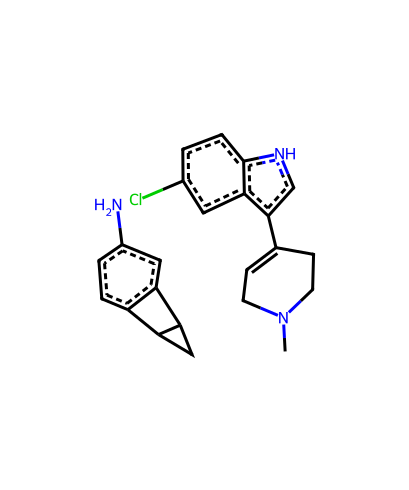 CN1CC=C(c2c[nH]c3ccc(Cl)cc23)CC1.Nc1ccc2c(c1)C1CC21